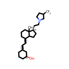 CC12CCC/C(=C\C=C3\CCC[C@H](O)C3)C1CC[C@@H]2CCN1CCC(C(F)(F)F)C1